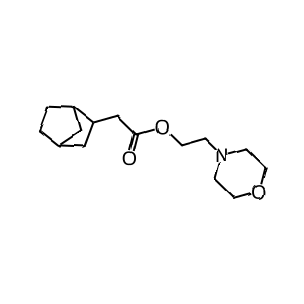 O=C(CC1CC2CCC1C2)OCCN1CCOCC1